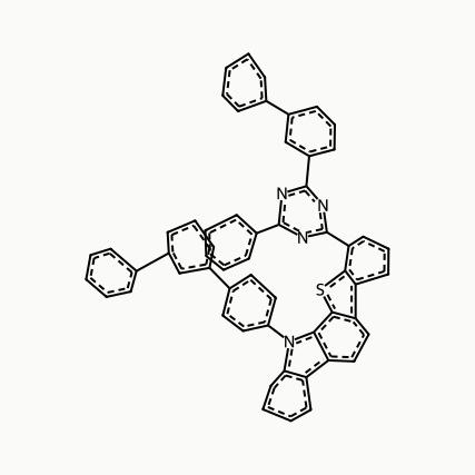 c1ccc(-c2cccc(-c3ccc(-n4c5ccccc5c5ccc6c7cccc(-c8nc(-c9ccccc9)nc(-c9cccc(-c%10ccccc%10)c9)n8)c7sc6c54)cc3)c2)cc1